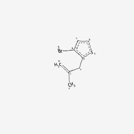 C=C(C)Cc1sccc1Br